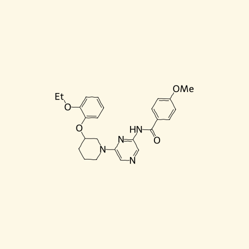 CCOc1ccccc1OC1CCCN(c2cncc(NC(=O)c3ccc(OC)cc3)n2)C1